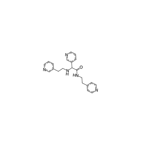 O=C(NCCc1ccncc1)C(NCCc1cccnc1)c1cccnc1